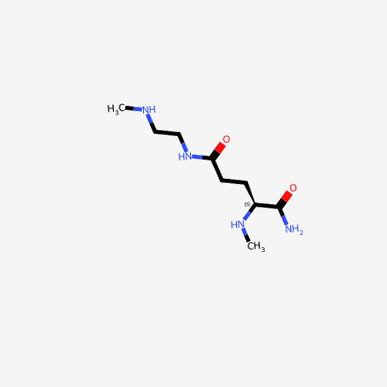 CNCCNC(=O)CC[C@H](NC)C(N)=O